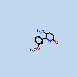 NC1CCC(=O)NC1c1cccc(OC(F)(F)F)c1